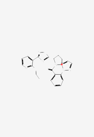 CCOc1ncccc1-c1noc([C@@H]2CCCN2C(=O)c2ccccc2-n2nccn2)n1